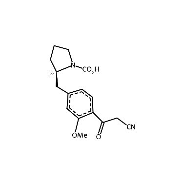 COc1cc(C[C@H]2CCCN2C(=O)O)ccc1C(=O)CC#N